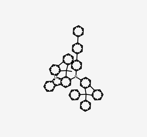 CC1(c2c(N(c3ccc(-c4ccc(-c5ccccc5)cc4)cc3)c3ccc4c(c3)C(c3ccccc3)(c3ccccc3)c3ccccc3-4)ccc3c2oc2ccccc23)c2ccccc2-c2ccccc21